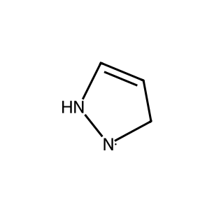 C1=CN[N]C1